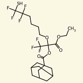 CCOC(=O)C(OCCCCC(F)(F)C(F)(F)S)(OC(=O)C12CC3CC(CC(C3)C1)C2)C(F)(F)F